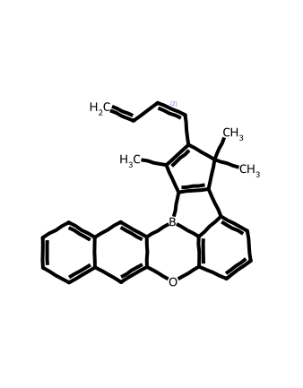 C=C/C=C\C1=C(C)C2=C(c3cccc4c3B2c2cc3ccccc3cc2O4)C1(C)C